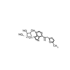 Cc1ccc(CNc2ncnc3c2ncn3[C@@H]2O[C@H](CO)C(O)C2O)o1